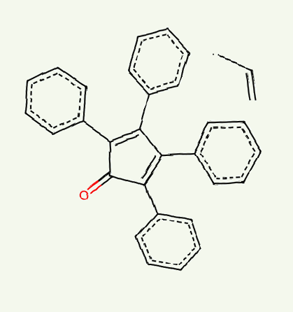 O=C1C(c2ccccc2)=C(c2ccccc2)C(c2ccccc2)=C1c1ccccc1.[CH2]C=C